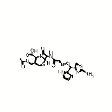 CC(=O)OCC1=C(C(=O)O)N2C(=O)[C@H](NC(=O)C=NOC(c3csc(N)n3)c3ncc[nH]3)[C@@H]2SC1